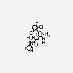 CC(OC(/C=C(\N)C(=O)Nc1cncnc1)=C(N)N)c1c(Cl)ccc(F)c1Cl